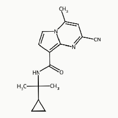 Cc1cc(C#N)nc2c(C(=O)NC(C)(C)C3CC3)ccn12